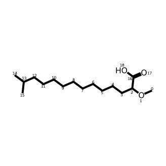 COC(CCCCCCCCCCC(C)C)C(=O)O